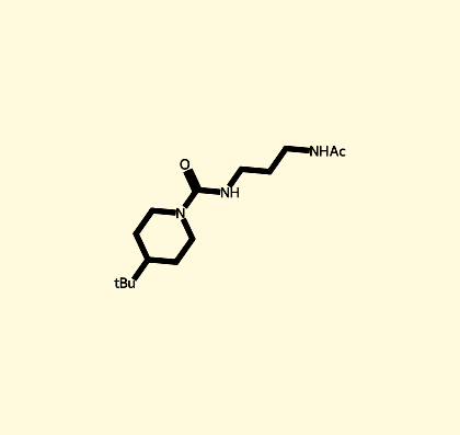 CC(=O)NCCCNC(=O)N1CCC(C(C)(C)C)CC1